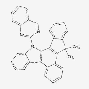 CC1(C)c2ccccc2-c2c1c1ccccc1c1c3ccccc3n(-c3ncc4ccccc4n3)c21